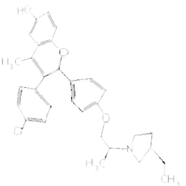 CC[C@@H]1CCN([C@@H](C)COc2ccc(C3Oc4ccc(O)cc4C(C)=C3c3ccc(Cl)cc3)cc2)C1